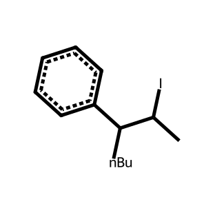 CCCCC(c1ccccc1)C(C)I